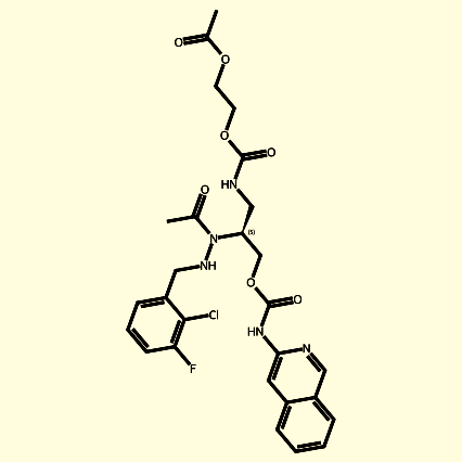 CC(=O)OCCOC(=O)NC[C@@H](COC(=O)Nc1cc2ccccc2cn1)N(NCc1cccc(F)c1Cl)C(C)=O